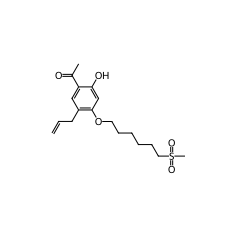 C=CCc1cc(C(C)=O)c(O)cc1OCCCCCCS(C)(=O)=O